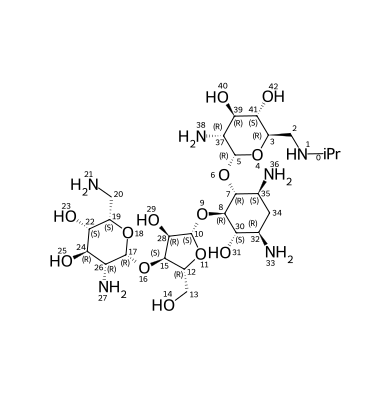 CC(C)NC[C@H]1O[C@H](O[C@H]2[C@H](O[C@@H]3O[C@H](CO)[C@@H](O[C@H]4O[C@@H](CN)[C@@H](O)[C@H](O)[C@H]4N)[C@H]3O)[C@@H](O)[C@H](N)C[C@@H]2N)[C@H](N)[C@@H](O)[C@@H]1O